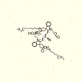 C=C(Cl)CC1(CCCCCCCCCC)C(/C=C/C(C#N)=C/C=C2/N(CCOC=O)c3ccccc3C2(CCCCCCCCCC)CC(=C)Cl)=[N+](CCC(=O)O)c2ccccc21